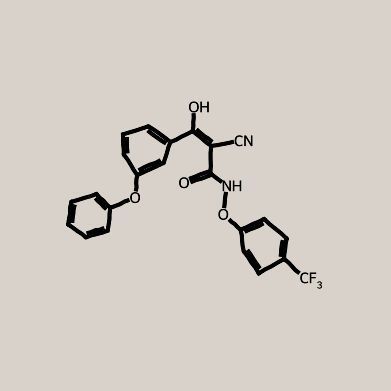 N#C/C(C(=O)NOc1ccc(C(F)(F)F)cc1)=C(\O)c1cccc(Oc2ccccc2)c1